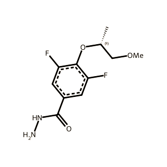 COC[C@@H](C)Oc1c(F)cc(C(=O)NN)cc1F